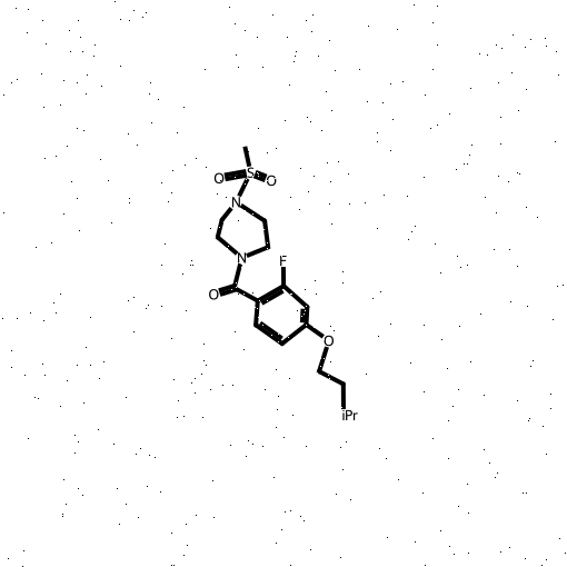 CC(C)CCOc1ccc(C(=O)N2CCN(S(C)(=O)=O)CC2)c(F)c1